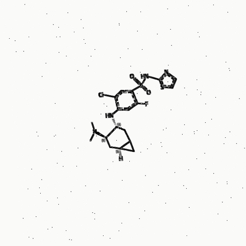 CN(C)[C@@H]1C[C@@H]2CC2C[C@H]1Nc1cc(F)c(S(=O)(=O)Nc2nccs2)cc1Cl